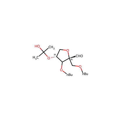 CCCCOC[C@@]1(C=O)OC[C@@H](OC(C)(C)O)C1OCCCC